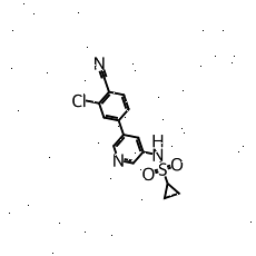 N#Cc1ccc(-c2cncc(NS(=O)(=O)C3CC3)c2)cc1Cl